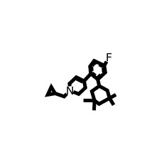 CC1(C)CC(c2cc(F)ccc2C2=CCN(CC3CC3)CC2)CC(C)(C)C1